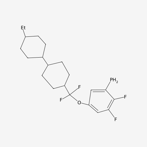 CCC1CCC(C2CCC(C(F)(F)Oc3cc(F)c(F)c(P)c3)CC2)CC1